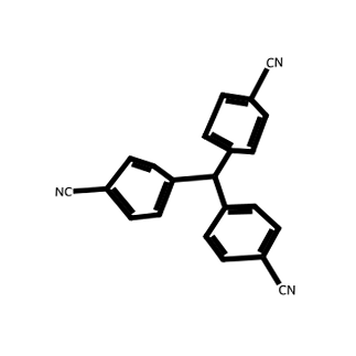 N#Cc1ccc(C(c2ccc(C#N)cc2)c2ccc(C#N)cc2)cc1